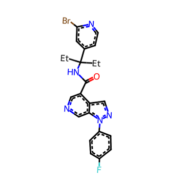 CCC(CC)(NC(=O)c1cncc2c1cnn2-c1ccc(F)cc1)c1ccnc(Br)c1